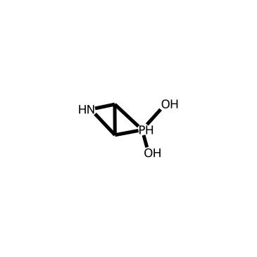 O[PH]1(O)C2NC21